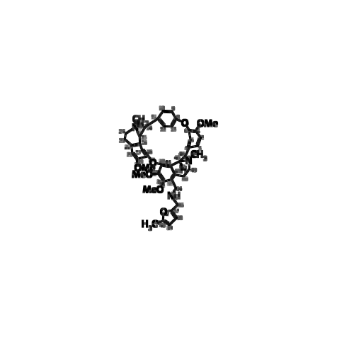 COc1ccc2cc1Oc1ccc(cc1)C[C@H]1c3cc(c(OC)cc3CCN1C)Oc1c(OC)c(OC)c(CNCc3ccc(C)o3)c3c1[C@H](C2)N(C)CC3